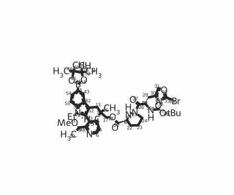 CCn1c(-c2cccnc2[C@H](C)OC)c(CC(C)(C)COC(=O)[C@@H]2CCCN(C(=O)[C@H](Cc3coc(Br)n3)NC(=O)OC(C)(C)C)N2)c2cc(B3OC(C)(C)C(C)(C)O3)ccc21